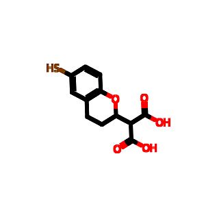 O=C(O)C(C(=O)O)C1CCc2cc(S)ccc2O1